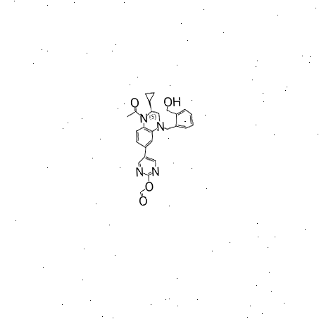 CC(=O)N1c2ccc(-c3cnc(OC=O)nc3)cc2N(Cc2ccccc2CO)C[C@@H]1C1CC1